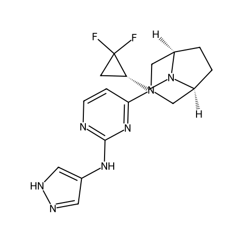 FC1(F)C[C@H]1CN1[C@@H]2CC[C@H]1CN(c1ccnc(Nc3cn[nH]c3)n1)C2